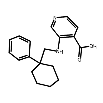 O=C(O)c1ccncc1NCC1(c2ccccc2)CCCCC1